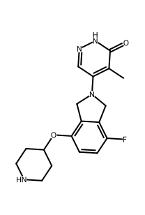 Cc1c(N2Cc3c(F)ccc(OC4CCNCC4)c3C2)cn[nH]c1=O